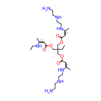 CCN/C(C)=C\C(=O)OCC(CC)(COC(=O)/C=C(/C)NCCNCCN)COC(=O)/C=C(/C)NCCNCCN